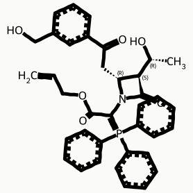 C=CCOC(=O)C(N1C(=O)[C@H]([C@@H](C)O)[C@H]1CC(=O)c1cccc(CO)c1)=P(c1ccccc1)(c1ccccc1)c1ccccc1